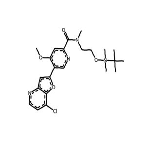 COc1cc(C(=O)N(C)CCO[Si](C)(C)C(C)(C)C)ncc1-c1cc2nccc(Cl)c2o1